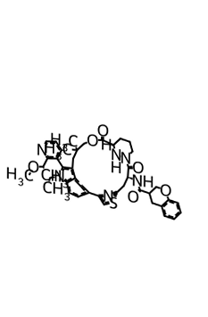 CCn1c(-c2cccnc2[C@H](C)OC)c2c3cc(ccc31)-c1csc(n1)C[C@H](NC(=O)C1COc3ccccc3C1)C(=O)N1CCC[C@H](N1)C(=O)OCC(C)(C)C2